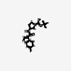 CC(C)(C)OC(=O)N1CCC(NC(=O)c2coc3cc(F)ccc23)C1